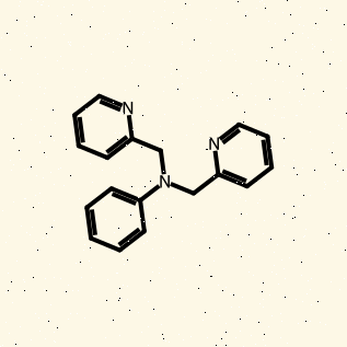 c1ccc(N(Cc2ccccn2)Cc2ccccn2)cc1